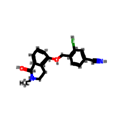 CN1CCc2c(OCc3ccc(C#N)cc3F)cccc2C1=O